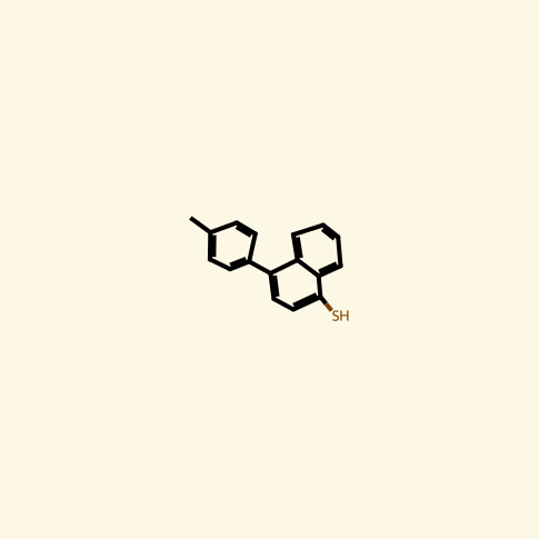 Cc1ccc(-c2ccc(S)c3ccccc23)cc1